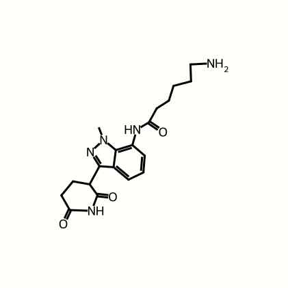 Cn1nc(C2CCC(=O)NC2=O)c2cccc(NC(=O)CCCCCN)c21